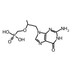 CC(Cn1cnc2c(=O)[nH]c(N)nc21)OCP(=O)(O)O